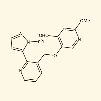 CCCn1nccc1-c1ncccc1COc1cnc(OC)cc1C=O